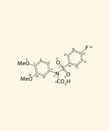 COc1ccc(N(C(=O)O)S(=O)(=O)c2ccc(F)cc2)cc1OC